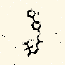 C=C(/C=C\C=C(/C)COc1ccc(-c2ccn[nH]2)nc1)C(F)(F)C(=O)O